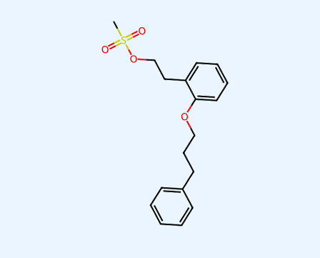 CS(=O)(=O)OCCc1ccccc1OCCCc1ccccc1